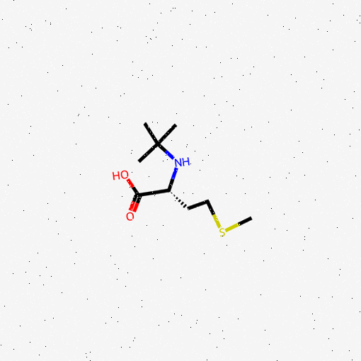 CSCC[C@@H](NC(C)(C)C)C(=O)O